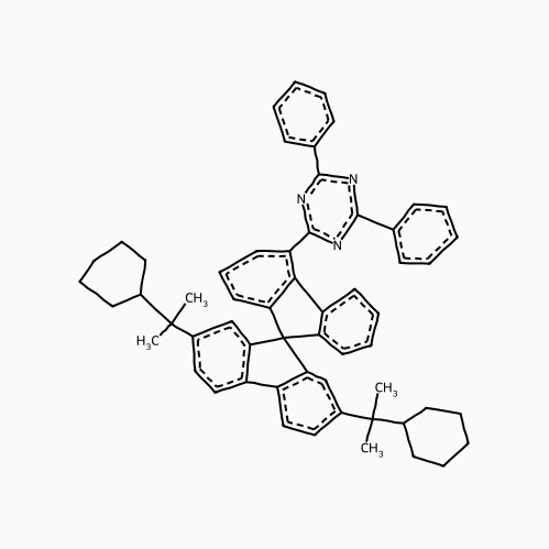 CC(C)(c1ccc2c(c1)C1(c3cc(C(C)(C)C4CCCCC4)ccc3-2)c2ccccc2-c2c(-c3nc(-c4ccccc4)nc(-c4ccccc4)n3)cccc21)C1CCCCC1